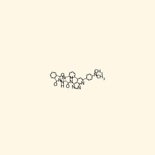 CN(C)c1ccc(-c2cc(-c3cccc(Br)c3)c3c(NC(=O)CNN4C(=O)c5ccccc5C4=O)ncnc3n2)cc1